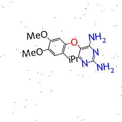 COc1cc(Oc2cnc(N)nc2N)c(C(C)C)cc1OC